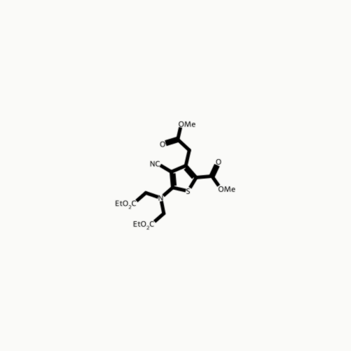 CCOC(=O)CN(CC(=O)OCC)c1sc(C(=O)OC)c(CC(=O)OC)c1C#N